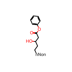 CCCCCCCCCCCC(O)CC(=O)Oc1ccccc1